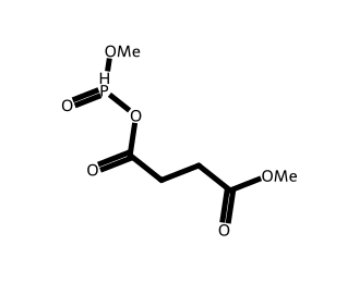 COC(=O)CCC(=O)O[PH](=O)OC